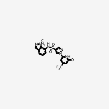 Cn1ncc2cccc(NS(=O)(=O)c3cnn(-c4cc(C(F)(F)F)cc(=O)[nH]4)c3)c21